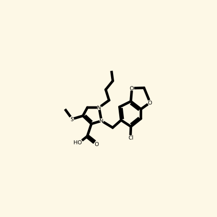 CCCCN1CC(SC)=C(C(=O)O)N1Cc1cc2c(cc1Cl)OCO2